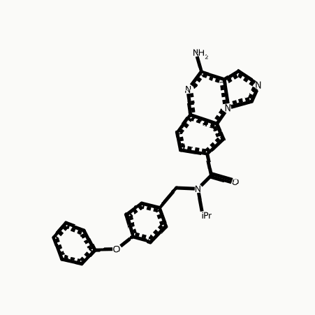 CC(C)N(Cc1ccc(Oc2ccccc2)cc1)C(=O)c1ccc2nc(N)c3cncn3c2c1